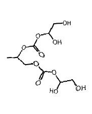 CC(COC(=O)OC(O)CO)OC(=O)OC(O)CO